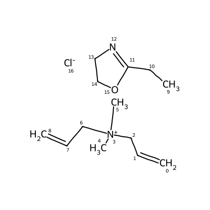 C=CC[N+](C)(C)CC=C.CCC1=NCCO1.[Cl-]